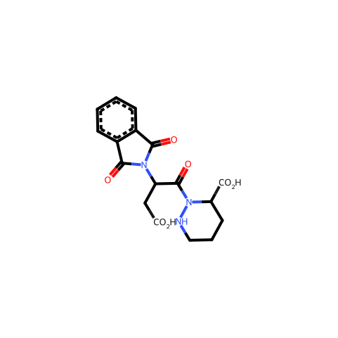 O=C(O)CC(C(=O)N1NCCCC1C(=O)O)N1C(=O)c2ccccc2C1=O